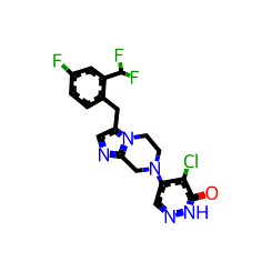 O=c1[nH]ncc(N2CCn3c(Cc4ccc(F)cc4C(F)F)cnc3C2)c1Cl